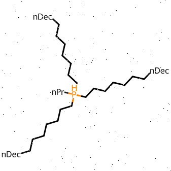 CCCCCCCCCCCCCCCCC[PH](CCC)(CCCCCCCCCCCCCCCCC)CCCCCCCCCCCCCCCCC